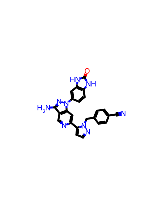 N#Cc1ccc(Cn2nccc2-c2cc3c(cn2)c(N)nn3-c2ccc3[nH]c(=O)[nH]c3c2)cc1